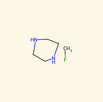 C1CNCCN1.CF